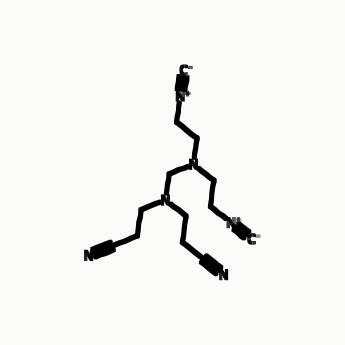 [C-]#[N+]CCN(CC[N+]#[C-])CN(CCC#N)CCC#N